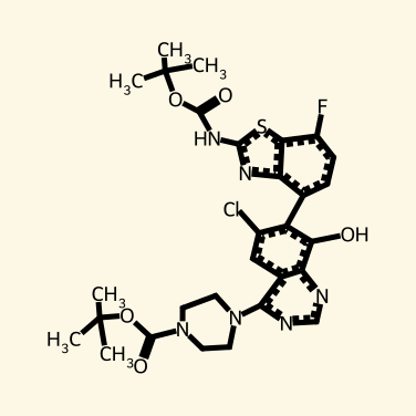 CC(C)(C)OC(=O)Nc1nc2c(-c3c(Cl)cc4c(N5CCN(C(=O)OC(C)(C)C)CC5)ncnc4c3O)ccc(F)c2s1